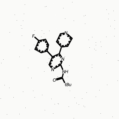 CC(C)(C)C(=O)Nc1ncc(-c2ccc(F)cc2)c(-c2ccncc2)n1